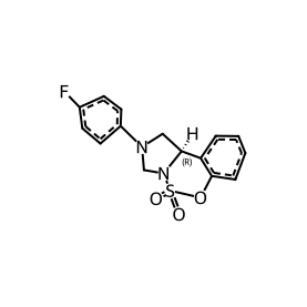 O=S1(=O)Oc2ccccc2[C@@H]2CN(c3ccc(F)cc3)CN21